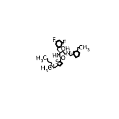 CCCCN(C)Cc1ccc(C(=O)N[C@@H](Cc2cc(F)cc(F)c2)[C@@H](O)CNCc2cccc(CC)c2)s1